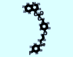 O=C(OCc1ccc(OC=CC[Se]c2ccc(F)cc2)cc1)Oc1ccnc2ccccc12